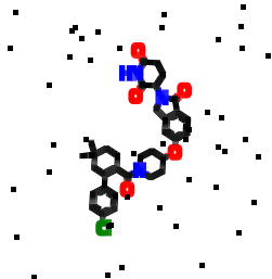 CC1(C)CCC(C(=O)N2CCC(Oc3ccc4c(c3)CN(C3CCC(=O)NC3=O)C4=O)CC2)=C(c2ccc(Cl)cc2)C1